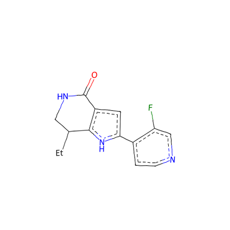 CCC1CNC(=O)c2cc(-c3ccncc3F)[nH]c21